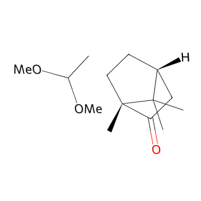 CC1(C)[C@@H]2CC[C@@]1(C)C(=O)C2.COC(C)OC